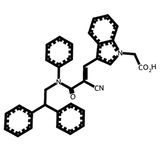 N#C/C(=C\c1cn(CC(=O)O)c2ccccc12)C(=O)N(CC(c1ccccc1)c1ccccc1)c1ccccc1